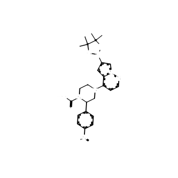 CC1(C)OB(c2cc3c(N4CCN(C(=O)O)C(c5ccc([N+](=O)[O-])cc5)C4)ccnn3c2)OC1(C)C